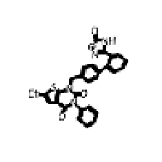 CCc1cc2c(=O)n(-c3ccccc3)c(=O)n(Cc3ccc(-c4ccccc4-c4noc(=O)[nH]4)cc3)c2s1